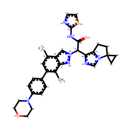 Cc1c(-c2ccc(N3CCOCC3)cc2)cc(C(F)(F)F)c2cn(C(C(=O)Nc3nccs3)c3ncn4c3CCC43CC3)nc12